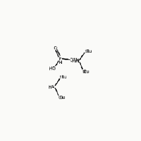 CO[PH](=O)O.C[C](C)(C)[AlH][C](C)(C)C.C[C](C)(C)[AlH][C](C)(C)C